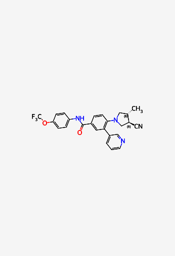 C[C@H]1CN(c2ccc(C(=O)Nc3ccc(OC(F)(F)F)cc3)cc2-c2cccnc2)C[C@@H]1C#N